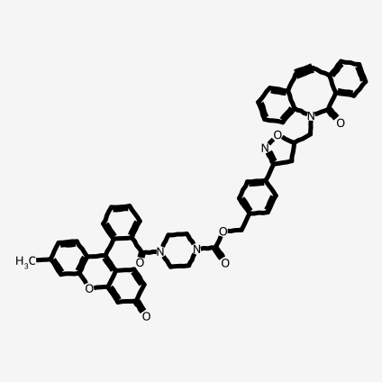 Cc1ccc2c(-c3ccccc3C(=O)N3CCN(C(=O)OCc4ccc(C5=NOC(CN6C(=O)c7ccccc7C#Cc7ccccc76)C5)cc4)CC3)c3ccc(=O)cc-3oc2c1